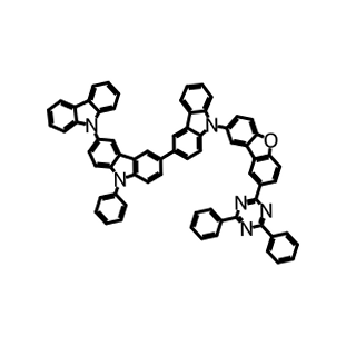 c1ccc(-c2nc(-c3ccccc3)nc(-c3ccc4oc5ccc(-n6c7ccccc7c7cc(-c8ccc9c(c8)c8cc(-n%10c%11ccccc%11c%11ccccc%11%10)ccc8n9-c8ccccc8)ccc76)cc5c4c3)n2)cc1